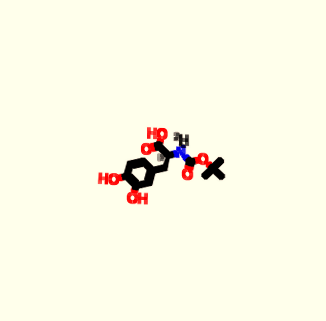 [2H]N(C(=O)OC(C)(C)C)[C@@H](Cc1ccc(O)c(O)c1)C(=O)O